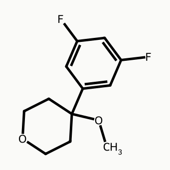 COC1(c2cc(F)cc(F)c2)CCOCC1